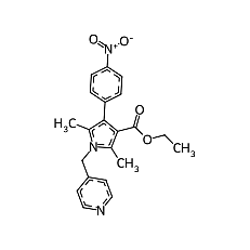 CCOC(=O)c1c(-c2ccc([N+](=O)[O-])cc2)c(C)n(Cc2ccncc2)c1C